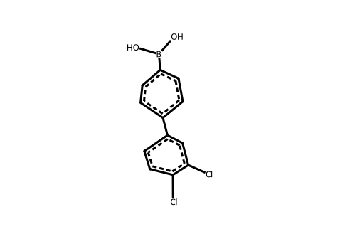 OB(O)c1ccc(-c2ccc(Cl)c(Cl)c2)cc1